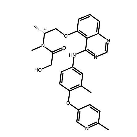 Cc1ccc(Oc2ccc(Nc3ncnc4cccc(OC[C@@H](C)N(C)C(=O)CO)c34)cc2C)cn1